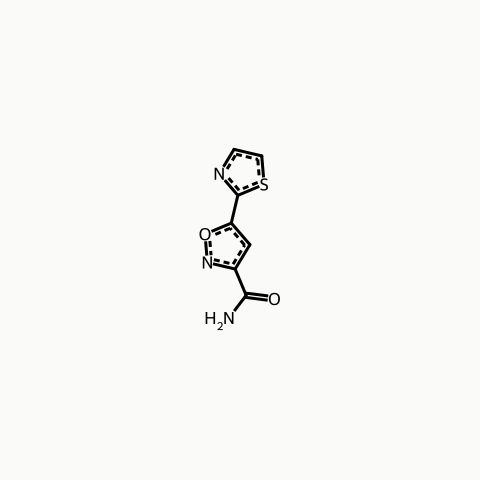 NC(=O)c1cc(-c2nccs2)on1